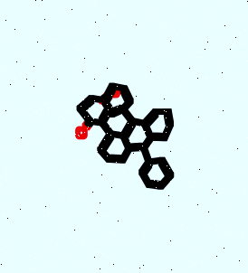 O=C1C=CC(=O)C(c2cccc3c(-c4ccccc4)c4ccccc4c(-c4ccccc4)c23)=C1